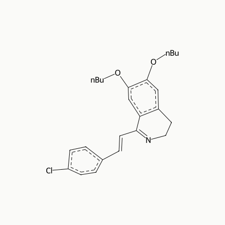 CCCCOc1cc2c(cc1OCCCC)C(C=Cc1ccc(Cl)cc1)=NCC2